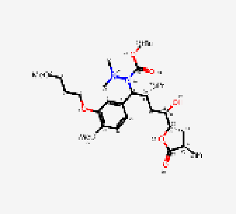 COCCCOc1cc(C([C@@H](C[C@@H](O)[C@@H]2C[C@@H](C(C)C)C(=O)O2)C(C)C)N(C(=O)OC(C)(C)C)N(C)C)ccc1OC